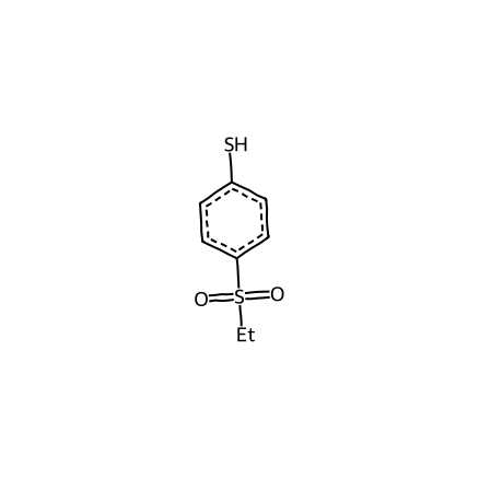 CCS(=O)(=O)c1ccc(S)cc1